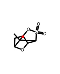 CC1(C)C2CC3OS(=O)(=O)C1C3O2